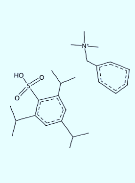 CC(C)c1cc(C(C)C)c(S(=O)(=O)O)c(C(C)C)c1.C[N+](C)(C)Cc1ccccc1